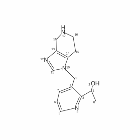 CC(O)c1ncccc1Cn1cnc2c1CCNC2